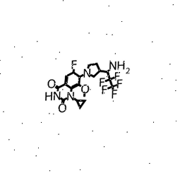 COC1=c2c(c(=O)[nH]c(=O)n2C2CC2)=CC(F)C1N1CCC(C(N)C(F)(F)C(F)(F)F)C1